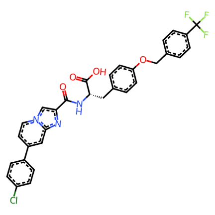 O=C(N[C@@H](Cc1ccc(OCc2ccc(C(F)(F)F)cc2)cc1)C(=O)O)c1cn2ccc(-c3ccc(Cl)cc3)cc2n1